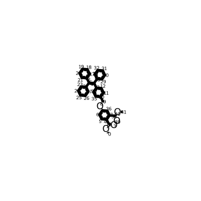 COC(=O)c1ccc(OCc2ccc(C(=C(c3ccccc3)c3ccccc3)c3ccccc3)cc2)cc1C(=O)OC